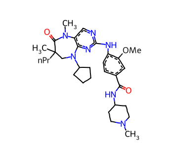 CCCC1(C)CN(C2CCCC2)c2nc(Nc3ccc(C(=O)NC4CCN(C)CC4)cc3OC)ncc2N(C)C1=O